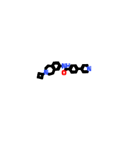 O=C(Nc1ccc2c(c1)CCN(C1CCC1)CC2)c1ccc(-c2ccncc2)cc1